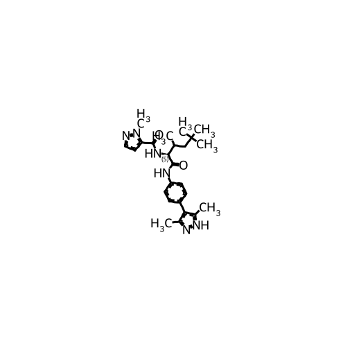 Cc1n[nH]c(C)c1-c1ccc(NC(=O)[C@@H](NC(=O)c2ccnn2C)C(C)CC(C)(C)C)cc1